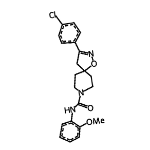 COc1ccccc1NC(=O)N1CCC2(CC1)CC(c1ccc(Cl)cc1)=NO2